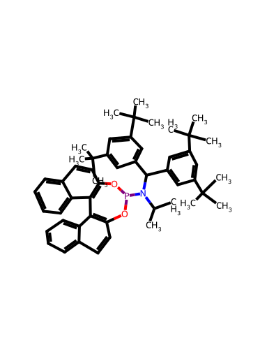 CC(C)N(C(c1cc(C(C)(C)C)cc(C(C)(C)C)c1)c1cc(C(C)(C)C)cc(C(C)(C)C)c1)p1oc2ccc3ccccc3c2c2c(ccc3ccccc32)o1